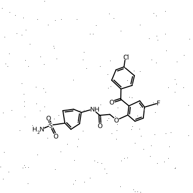 NS(=O)(=O)c1ccc(NC(=O)COc2ccc(F)cc2C(=O)c2ccc(Cl)cc2)cc1